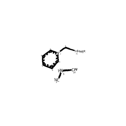 CCCCCCCC[n+]1ccccc1.N#CNC#N